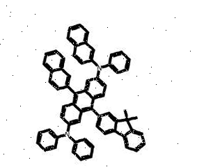 CC1(C)c2ccccc2-c2ccc(-c3c4ccc(N(c5ccccc5)c5ccc6ccccc6c5)cc4c(-c4ccc5ccccc5c4)c4ccc(N(c5ccccc5)c5ccccc5)cc34)cc21